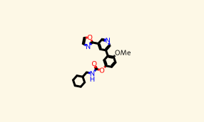 COc1ccc(OC(=O)NCC2CCCCC2)cc1-c1cncc(-c2ncco2)c1